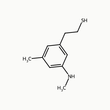 CNc1cc(C)cc(CCS)c1